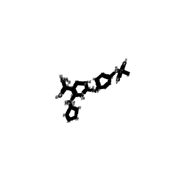 CS(=O)(=O)Oc1ccc(Nc2ncc(C(N)=O)c(NC3CCCC3)n2)cc1